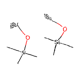 CC(C)(C)O[Si](C)(C)C.CCC(C)O[Si](C)(C)C